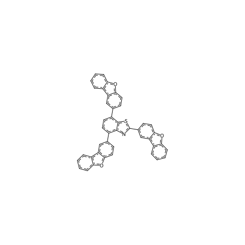 c1ccc2c(c1)oc1ccc(-c3nc4c(-c5ccc6oc7ccccc7c6c5)ccc(-c5ccc6oc7ccccc7c6c5)c4s3)cc12